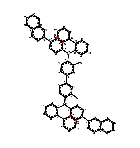 Cc1cc(-c2ccc(N(c3ccc(-c4ccc5ccccc5c4)cc3)c3ccccc3-c3ccccc3)c(C)c2)ccc1N(c1ccc(-c2ccc3ccccc3c2)cc1)c1ccccc1-c1ccccc1